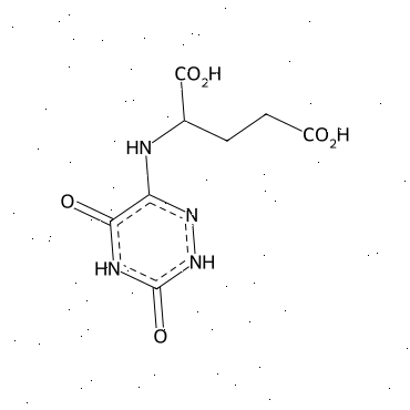 O=C(O)CCC(Nc1n[nH]c(=O)[nH]c1=O)C(=O)O